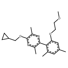 COCCOc1cc(C)cc(C)c1-c1nc(C)c(OCC2CC2)nc1C